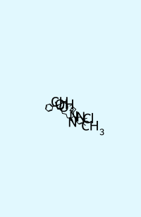 Cc1cc2nc(CCCC(=O)CC(C)(O)c3ccccc3)n(C3CCC3)c2nc1Cl